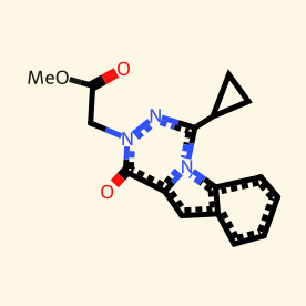 COC(=O)Cn1nc(C2CC2)n2c(cc3ccccc32)c1=O